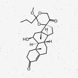 CCCC1(OC)OCC(=O)[C@]2(CC[C@H]3[C@@H]4CCC5=CC(=O)CC[C@]5(C)[C@H]4[C@@H](O)C[C@@]32C)O1